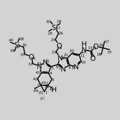 C[C@H]1[C@H]2Cc3c(-c4nc5ncc(NC(=O)OC(C)(C)C)cc5n4COCC[Si](C)(C)C)nn(COCC[Si](C)(C)C)c3C[C@]21C